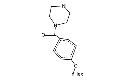 CCCCCCOc1ccc(C(=O)N2CCNCC2)cc1